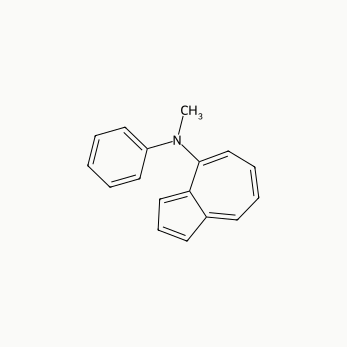 CN(c1ccccc1)c1ccccc2cccc1-2